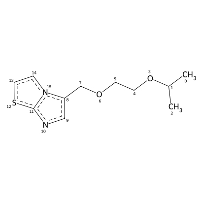 CC(C)OCCOCc1cnc2sccn12